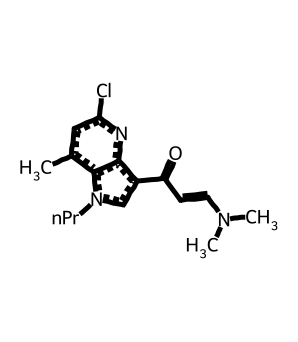 CCCn1cc(C(=O)/C=C/N(C)C)c2nc(Cl)cc(C)c21